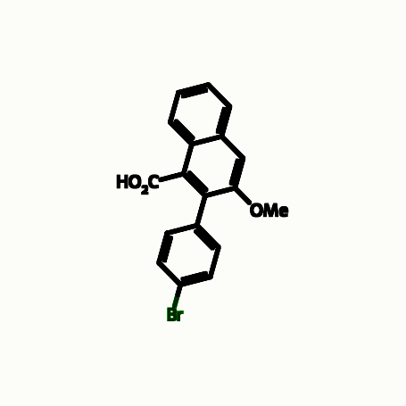 COc1cc2ccccc2c(C(=O)O)c1-c1ccc(Br)cc1